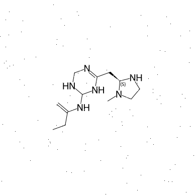 C=C(CC)NC1NCN=C(C[C@H]2NCCN2C)N1